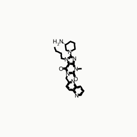 CCCCn1c(N2CCC[C@@H](N)C2)nc2c1c(=O)n(Cc1ccc3ncccc3n1)c(=O)n2C